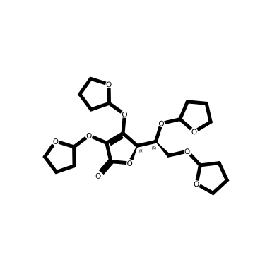 O=C1O[C@H]([C@H](COC2CCCO2)OC2CCCO2)C(OC2CCCO2)=C1OC1CCCO1